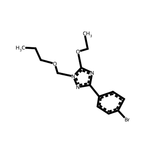 CCCOCn1nc(-c2ccc(Br)cc2)nc1OCC